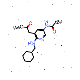 COC(=O)Cc1cc(NC(=O)C(C)(C)C)cnc1NCC1CCCCC1